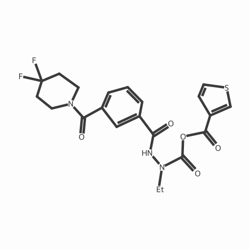 CCN(NC(=O)c1cccc(C(=O)N2CCC(F)(F)CC2)c1)C(=O)OC(=O)c1ccsc1